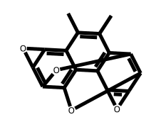 Cc1c(C)c2c3oc4c5oc5c1c1c4oc3c3oc3c21